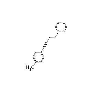 Cc1ccc(C#CCCc2ccccc2)cc1